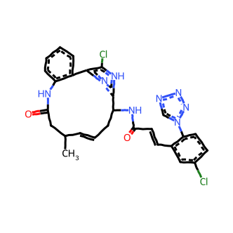 CC1/C=C/CC(NC(=O)/C=C/c2cc(Cl)ccc2-n2cnnn2)c2nc(c(Cl)[nH]2)-c2ccccc2NC(=O)C1